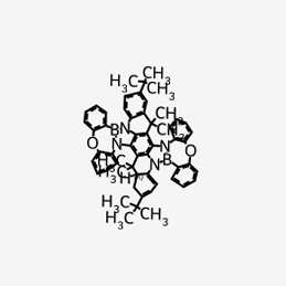 CC(C)(C)C1=CC=C2[C@H](C1)C(C)(C)c1c3c(c4c5c1N1B(c6ccccc6Oc6ccccc61)N5c1ccc(C(C)(C)C)cc1C4(C)C)N1B(c4ccccc4Oc4ccccc41)N23